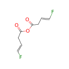 O=C(CC=CF)OC(=O)CC=CF